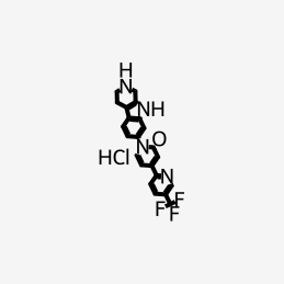 Cl.O=c1cc(-c2ccc(C(F)(F)F)cn2)ccn1-c1ccc2c3c([nH]c2c1)CNCC3